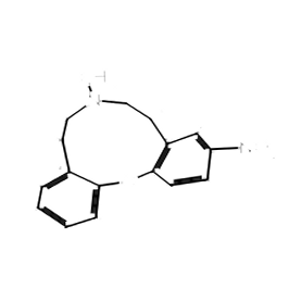 CN1CCc2ccccc2Oc2ccc([N+](=O)[O-])cc2CC1